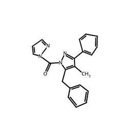 Cc1c(-c2ccccc2)nn(C(=O)n2cccn2)c1Cc1ccccc1